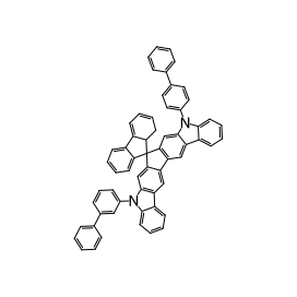 C1=CCC2C(=C1)c1ccccc1C21c2cc3c(cc2-c2cc4c5ccccc5n(-c5cccc(-c6ccccc6)c5)c4cc21)c1ccccc1n3-c1ccc(-c2ccccc2)cc1